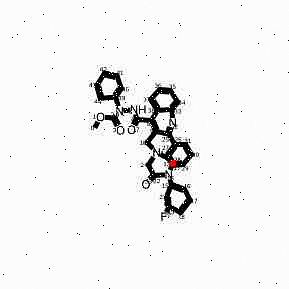 COC(=O)N(NC(=O)c1c(CN2CCN(c3cccc(F)c3)C(=O)C2)c(-c2ccccc2)nc2ccccc12)c1ccccc1